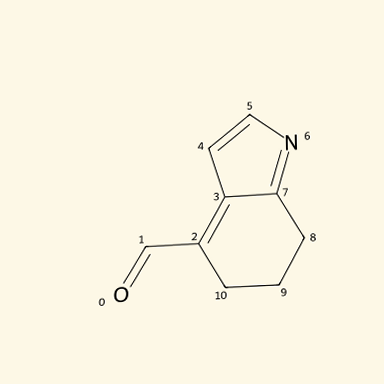 O=CC1=C2C=CN=C2CCC1